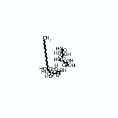 CCCCCCCCCCCCCCCC(O)C(O)(O)C(=O)O[C@H](CO)[C@H]1OC[C@H](O)[C@H]1O.O=C(O)C(O)C(O)C(=O)O[C@H](CO)[C@H]1OC[C@H](O)[C@H]1O